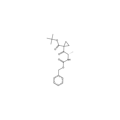 C[C@H](NC(=O)OCc1ccccc1)C(=O)C1(C(=O)OC(C)(C)C)CC1